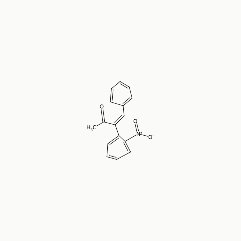 CC(=O)C(=Cc1ccccc1)c1ccccc1[N+](=O)[O-]